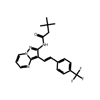 CC(C)(C)CC(=O)Nc1nn2cccnc2c1C=Cc1ccc(C(F)(F)F)cc1